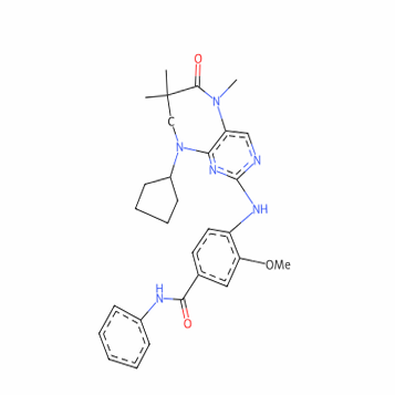 COc1cc(C(=O)Nc2ccccc2)ccc1Nc1ncc2c(n1)N(C1CCCC1)CC(C)(C)C(=O)N2C